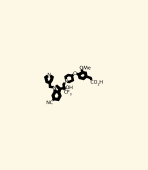 COc1cc(CC(=O)O)ccc1OC1CCN(CC(O)(c2cn(Cc3ccncc3)c3cc(C#N)ccc23)C(F)(F)F)CC1